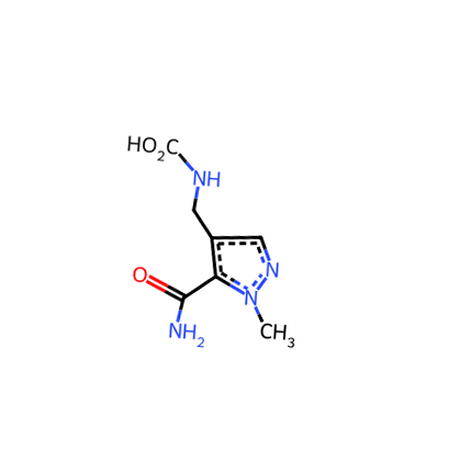 Cn1ncc(CNC(=O)O)c1C(N)=O